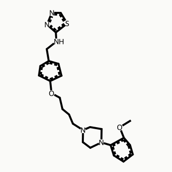 COc1ccccc1N1CCN(CCCCOc2ccc(CNc3nncs3)cc2)CC1